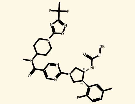 Cc1ccc(F)c([C@H]2CN(c3ncc(C(=O)N(C)C4CCN(c5nc(C(C)(F)F)no5)CC4)cn3)C[C@@H]2NC(=O)OC(C)(C)C)c1